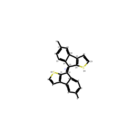 Cc1ccc2c(c1)-c1ccsc1/C2=C1\c2ccc(C)cc2-c2ccsc21